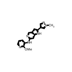 COc1ncccc1Nc1cc2[nH]c(-c3cnn(C)c3)cc2cn1